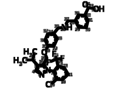 CC(C)c1cnn(-c2c(Cl)cccc2C(F)(F)F)c1COc1ccc(CNCc2cccc(C(=O)O)c2)cc1